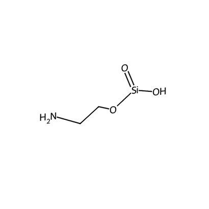 NCCO[Si](=O)O